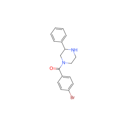 O=C(c1ccc(Br)cc1)N1CCNC(c2ccccc2)C1